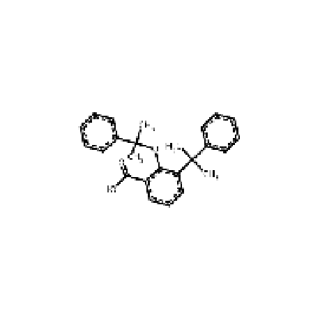 CC(C)(Oc1c(C(=O)O)cccc1C(C)(C)c1ccccc1)c1ccccc1